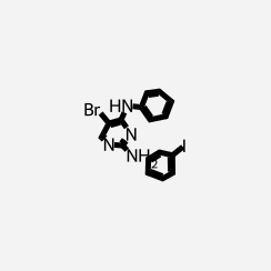 Ic1ccccc1.Nc1ncc(Br)c(Nc2ccccc2)n1